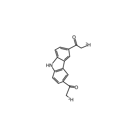 [2H]CC(=O)c1ccc2[nH]c3ccc(C(=O)C[2H])cc3c2c1